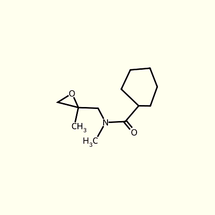 CN(CC1(C)CO1)C(=O)C1CCCCC1